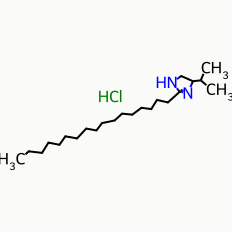 CCCCCCCCCCCCCCCCCC1=NC(C(C)C)CN1.Cl